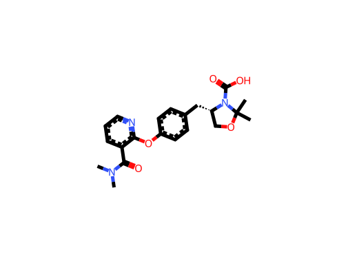 CN(C)C(=O)c1cccnc1Oc1ccc(C[C@H]2COC(C)(C)N2C(=O)O)cc1